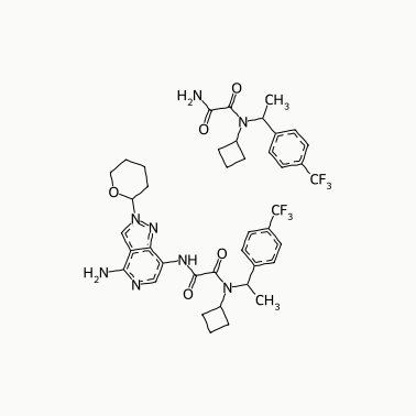 CC(c1ccc(C(F)(F)F)cc1)N(C(=O)C(=O)Nc1cnc(N)c2cn(C3CCCCO3)nc12)C1CCC1.CC(c1ccc(C(F)(F)F)cc1)N(C(=O)C(N)=O)C1CCC1